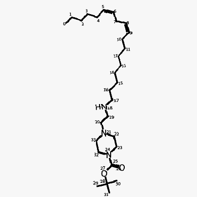 CCCCC/C=C\C/C=C\CCCCCCCCNCCN1CCN(C(=O)OC(C)(C)C)CC1